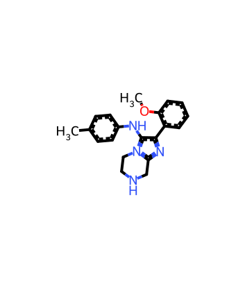 COc1ccccc1-c1nc2n(c1Nc1ccc(C)cc1)CCNC2